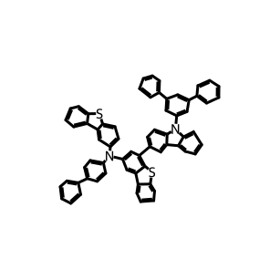 c1ccc(-c2ccc(N(c3ccc4sc5ccccc5c4c3)c3cc(-c4ccc5c(c4)c4ccccc4n5-c4cc(-c5ccccc5)cc(-c5ccccc5)c4)c4sc5ccccc5c4c3)cc2)cc1